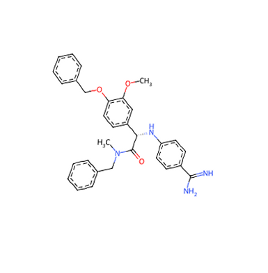 COc1cc([C@H](Nc2ccc(C(=N)N)cc2)C(=O)N(C)Cc2ccccc2)ccc1OCc1ccccc1